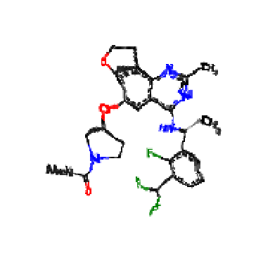 CNC(=O)N1CCC(Oc2cc3c(N[C@H](C)c4cccc(C(F)F)c4F)nc(C)nc3c3c2OCC3)C1